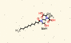 CCCCCCCCCCCC(=O)N(CCO)CCN(C(C)C(=O)O)C(C)C(=O)O.[NaH]